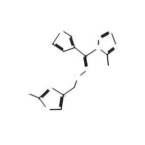 Cc1nnnn1C(=NOCc1csc(N)n1)c1ccsc1